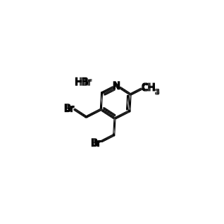 Br.Cc1cc(CBr)c(CBr)cn1